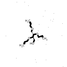 C=CCOC[C@H](OCC=C)[C@@H](CO)OCC=C